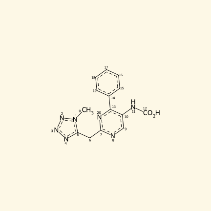 Cn1nnnc1Cc1ncc(NC(=O)O)c(-c2ccccc2)n1